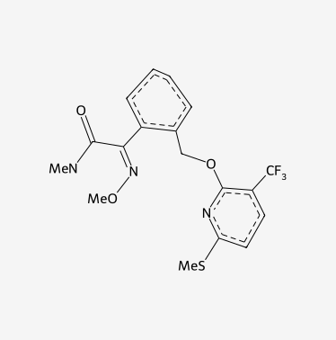 CNC(=O)C(=NOC)c1ccccc1COc1nc(SC)ccc1C(F)(F)F